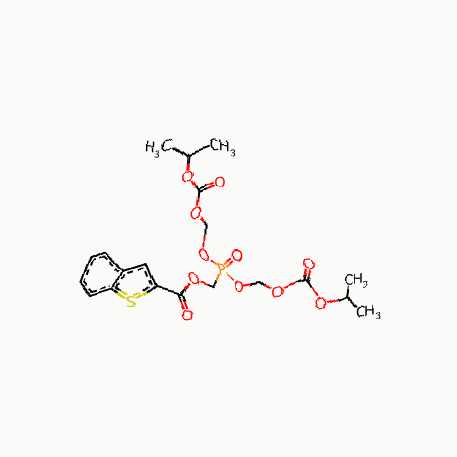 CC(C)OC(=O)OCOP(=O)(COC(=O)c1cc2ccccc2s1)OCOC(=O)OC(C)C